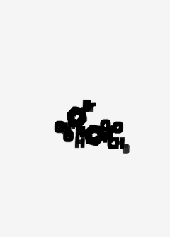 Cn1c(=O)oc2cc(Nc3cc(Br)ccc3[N+](=O)[O-])ccc21